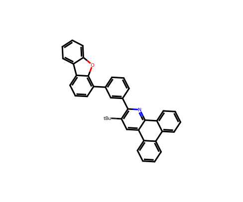 CC(C)(C)c1cc2c3ccccc3c3ccccc3c2nc1-c1cccc(-c2cccc3c2oc2ccccc23)c1